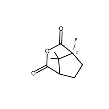 CC1(C)C2CC[C@]1(C)C(=O)OC2=O